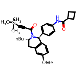 CCCC[C@H]1Cc2cc(OC)ccc2[C@H](c2ccc(NC(=O)C3CCC3)cc2)N1C(=O)C#C[Si](C)(C)C